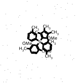 COc1ccc(C)cc1[Si](C1=C(C)C(C)=C(C)C1C)(c1cc(C)ccc1OC)c1cc(C)ccc1OC